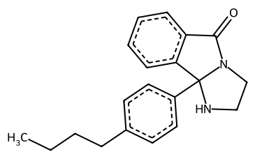 CCCCc1ccc(C23NCCN2C(=O)c2ccccc23)cc1